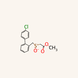 COC(=O)C[S+]([O-])Cc1ccccc1-c1ccc(Cl)cc1